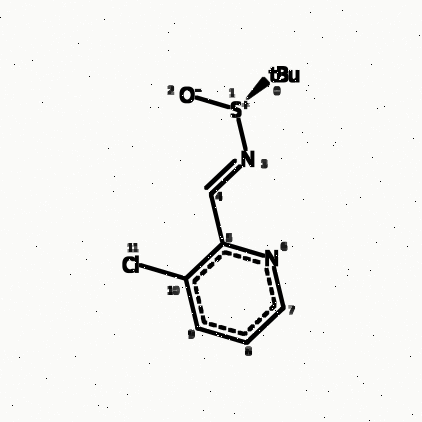 CC(C)(C)[S@+]([O-])/N=C/c1ncccc1Cl